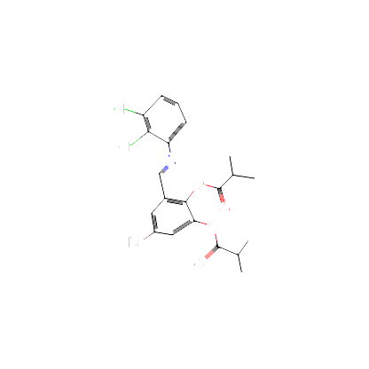 CC(C)C(=O)Oc1cc(Br)cc(C=Nc2cccc(Cl)c2Cl)c1OC(=O)C(C)C